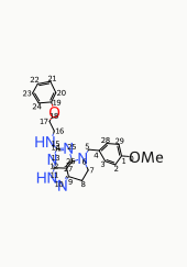 COc1ccc(CN2CCc3n[nH]c4nc(NCCOc5ccccc5)nc2c34)cc1